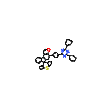 c1ccc(-c2nc(-c3ccccc3)nc(-c3ccc(-c4cc5c(c6ccoc46)-c4ccccc4C54c5ccccc5Sc5ccccc54)cc3)n2)cc1